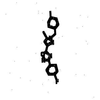 Cc1ccc(Cn2nc(-c3nc(-c4ccc(F)cc4)no3)cc2C)cc1